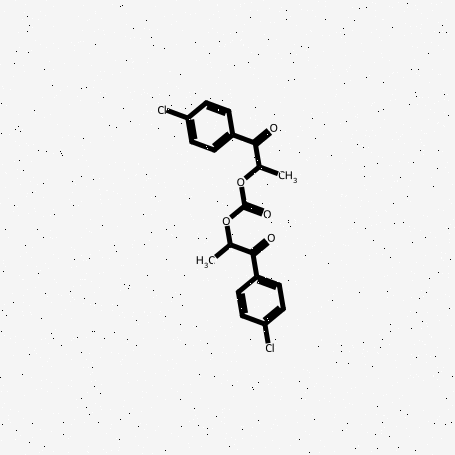 CC(OC(=O)OC(C)C(=O)c1ccc(Cl)cc1)C(=O)c1ccc(Cl)cc1